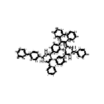 C1=C(c2ccccc2)NC(c2ccc(-c3ccccc3)cc2)NC1c1ccc(-c2c(C3N=C(c4ccccc4)NC(c4ccccc4)N3)c3ccccc3c3ccccc23)cc1